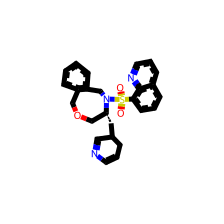 O=S(=O)(c1cccc2cccnc12)N1Cc2ccccc2COC[C@H]1CC1C=NC=CC1